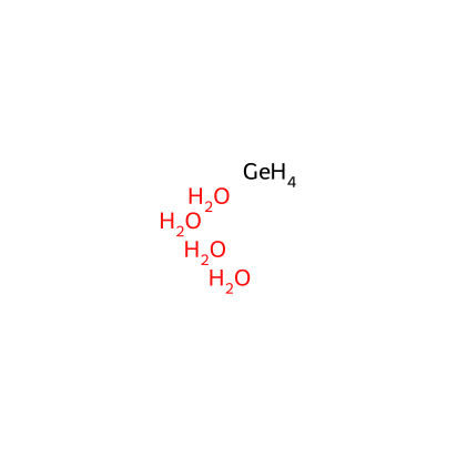 O.O.O.O.[GeH4]